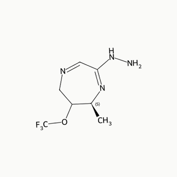 C[C@@H]1N=C(NN)C=NCC1OC(F)(F)F